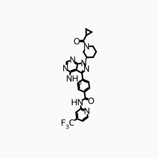 Nc1ncnc2c1c(-c1ccc(C(=O)Nc3cc(C(F)(F)F)ccn3)cc1)nn2[C@@H]1CCCN(C(=O)C2CC2)C1